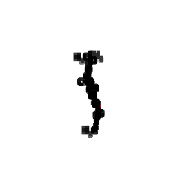 CCCCCCOC(=O)/C=C/c1ccc(-c2ccc(OC(=O)c3ccc(OCCOCCOC(=O)C(C)C)c(Cl)c3)cc2)cc1